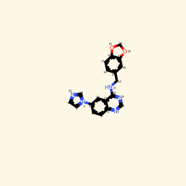 c1cn(-c2ccc3ncnc(NCc4ccc5c(c4)OCO5)c3c2)cn1